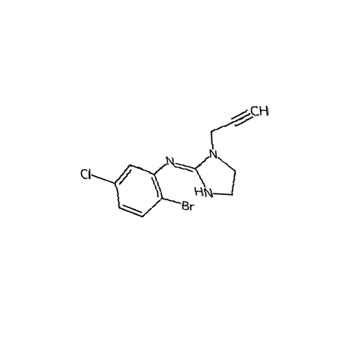 C#CCN1CCN/C1=N\c1cc(Cl)ccc1Br